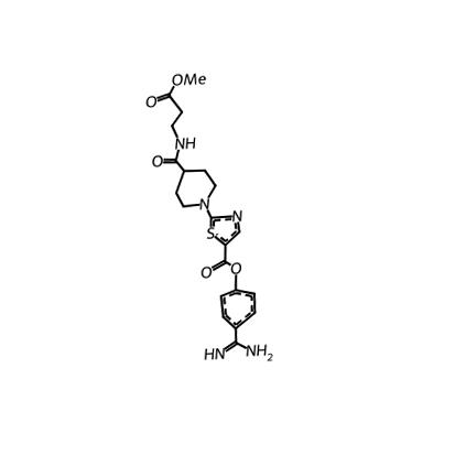 COC(=O)CCNC(=O)C1CCN(c2ncc(C(=O)Oc3ccc(C(=N)N)cc3)s2)CC1